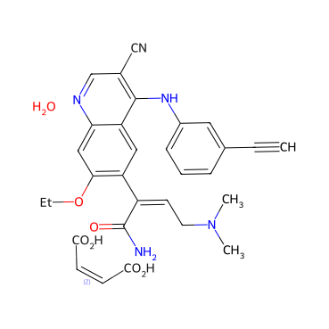 C#Cc1cccc(Nc2c(C#N)cnc3cc(OCC)c(C(=CCN(C)C)C(N)=O)cc23)c1.O.O=C(O)/C=C\C(=O)O